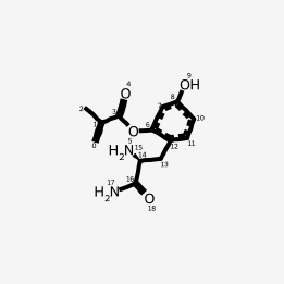 C=C(C)C(=O)Oc1cc(O)ccc1C[C@H](N)C(N)=O